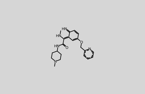 CN/C(C(=O)NC1CCN(C)CC1)=C1/C=C(OCc2ccccn2)C=CC1=N